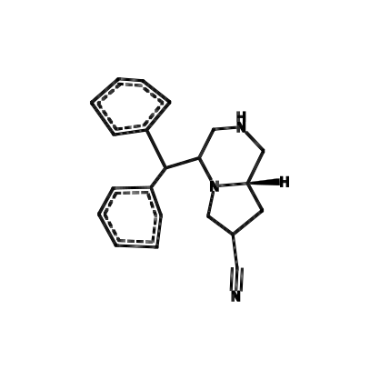 N#CC1C[C@H]2CNCC(C(c3ccccc3)c3ccccc3)N2C1